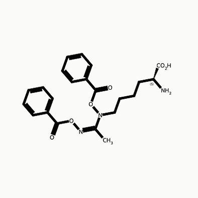 CC(=NOC(=O)c1ccccc1)N(CCCC[C@H](N)C(=O)O)OC(=O)c1ccccc1